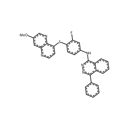 COc1cnc2c(Sc3ccc(Nc4nnc(-c5ccccc5)c5ccccc45)cc3F)ccnc2c1